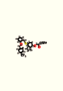 COC(=O)COc1ccc(SCc2ccccc2OCc2ccc(C(F)(F)F)cc2)c2c1CCC2